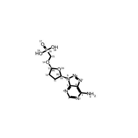 Nc1ncnc2c1nnn2[C@H]1CC[C@@H](OCP(=O)(O)O)O1